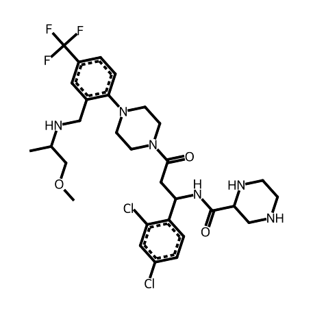 COCC(C)NCc1cc(C(F)(F)F)ccc1N1CCN(C(=O)CC(NC(=O)C2CNCCN2)c2ccc(Cl)cc2Cl)CC1